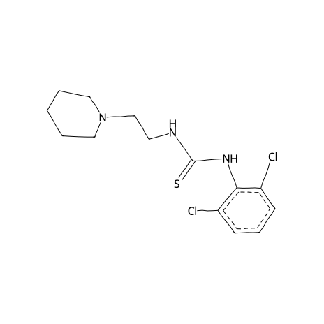 S=C(NCCN1CCCCC1)Nc1c(Cl)cccc1Cl